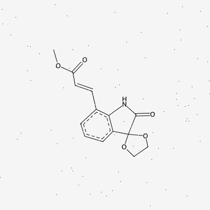 COC(=O)/C=C/c1cccc2c1NC(=O)C21OCCO1